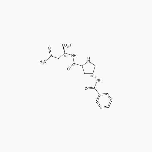 NC(=O)C[C@H](NC(=O)C1C[C@@H](NC(=O)c2ccccc2)CN1)C(=O)O